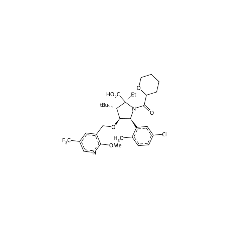 CC[C@@]1(C(=O)O)[C@@H](C(C)(C)C)[C@H](OCc2cc(C(F)(F)F)cnc2OC)[C@H](c2cc(Cl)ccc2C)N1C(=O)C1CCCCO1